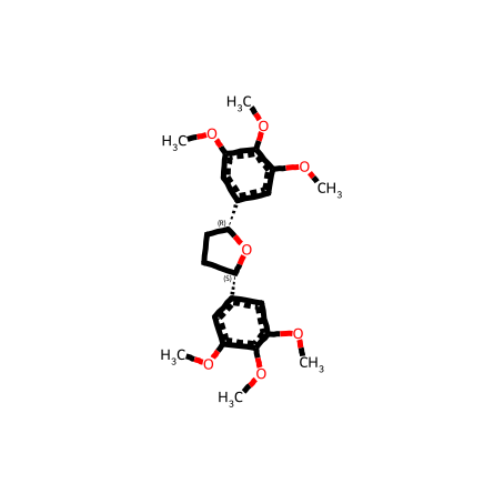 COc1cc([C@@H]2CC[C@H](c3cc(OC)c(OC)c(OC)c3)O2)cc(OC)c1OC